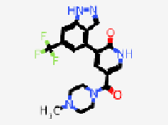 CN1CCN(C(=O)c2c[nH]c(=O)c(-c3cc(C(F)(F)F)cc4[nH]ncc34)c2)CC1